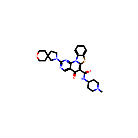 CN1CCC(NC(=O)c2c(=O)c3cnc(N4CCC5(CCOCC5)C4)nc3n3c2sc2ccccc23)CC1